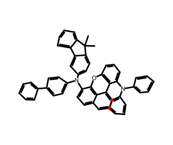 CC1(C)c2ccccc2-c2cc(N(c3ccc(-c4ccccc4)cc3)c3ccc4cccc5c4c3Oc3cccc(N(c4ccccc4)c4ccccc4)c3-5)ccc21